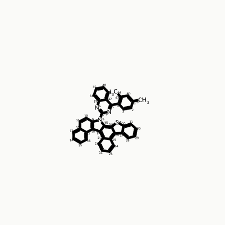 Cc1ccc(-c2nc(-n3c4ccc5ccccc5c4c4c5ccccc5c5c6ccccc6sc5c43)nc3ccccc23)c(C)c1